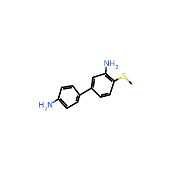 CSc1ccc(-c2ccc(N)cc2)cc1N